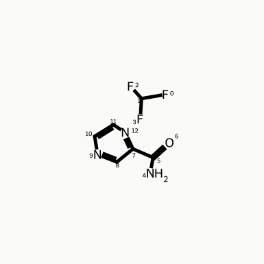 FC(F)F.NC(=O)c1cnccn1